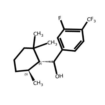 C[C@H]1CCCC(C)(C)[C@@H]1C(O)c1ccc(C(F)(F)F)c(F)c1